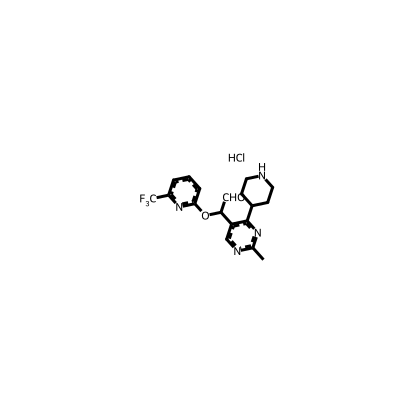 Cc1ncc(C(C=O)Oc2cccc(C(F)(F)F)n2)c(C2CCNCC2)n1.Cl